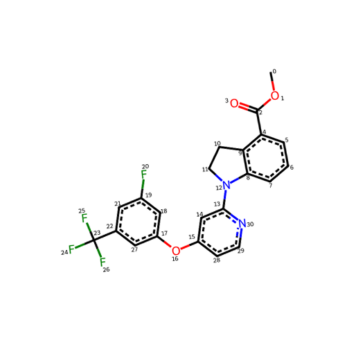 COC(=O)c1cccc2c1CCN2c1cc(Oc2cc(F)cc(C(F)(F)F)c2)ccn1